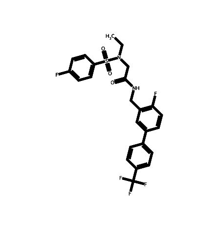 CCN(CC(=O)NCc1cc(-c2ccc(C(F)(F)F)cc2)ccc1F)S(=O)(=O)c1ccc(F)cc1